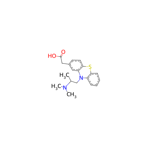 CC(CN1c2ccccc2Sc2ccc(CC(=O)O)cc21)N(C)C